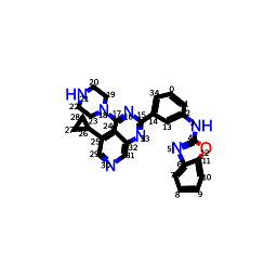 c1cc(Nc2nc3ccccc3o2)cc(-c2nc(N3CCNCC3)c3c(C4CC4)cncc3n2)c1